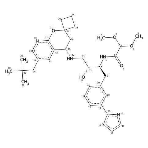 COC(OC)C(=O)N[C@@H](Cc1cccc(-c2nccs2)c1)[C@H](O)CN[C@H]1CC2(CCC2)Oc2ncc(CC(C)(C)C)cc21